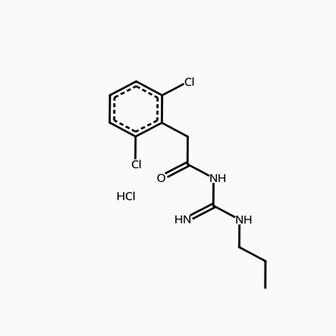 CCCNC(=N)NC(=O)Cc1c(Cl)cccc1Cl.Cl